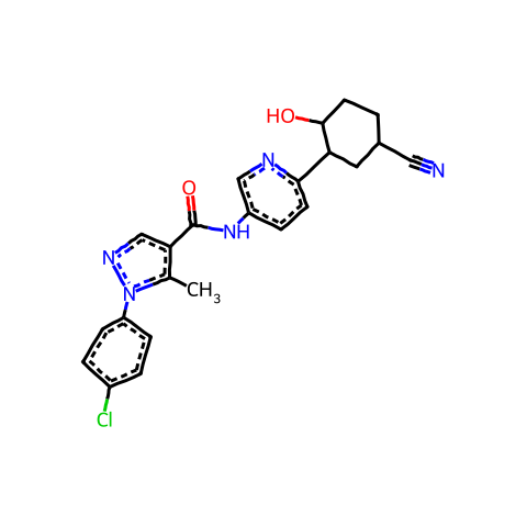 Cc1c(C(=O)Nc2ccc(C3CC(C#N)CCC3O)nc2)cnn1-c1ccc(Cl)cc1